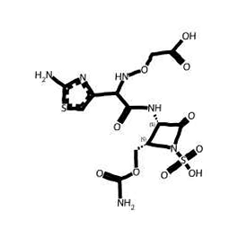 NC(=O)OC[C@@H]1[C@H](NC(=O)C(NOCC(=O)O)c2csc(N)n2)C(=O)N1S(=O)(=O)O